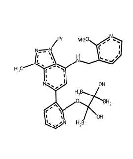 BC(B)(O)C(B)(O)Oc1ncccc1-c1cc(NCc2cccnc2OC)c2c(n1)c(C)nn2C(C)C